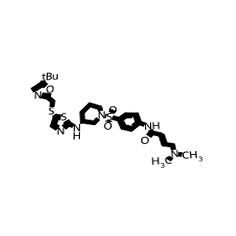 CN(C)C/C=C/C(=O)Nc1ccc(S(=O)(=O)N2CCC[C@@H](Nc3ncc(SCc4ncc(C(C)(C)C)o4)s3)C2)cc1